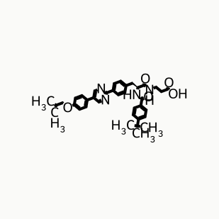 CC(C)COc1ccc(-c2cnc(-c3ccc(C[C@H](NC(=O)c4ccc(C(C)(C)C)cc4)C(=O)NCCC(=O)O)cc3)nc2)cc1